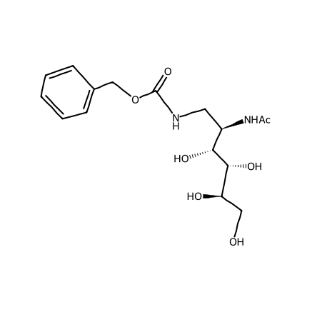 CC(=O)N[C@H](CNC(=O)OCc1ccccc1)[C@@H](O)[C@H](O)[C@H](O)CO